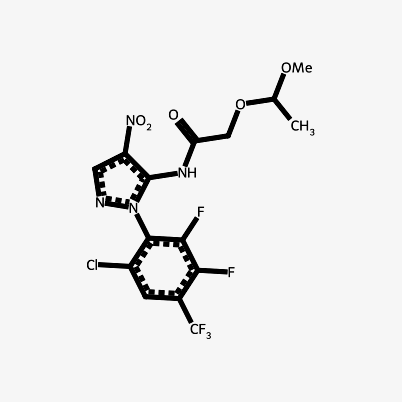 COC(C)OCC(=O)Nc1c([N+](=O)[O-])cnn1-c1c(Cl)cc(C(F)(F)F)c(F)c1F